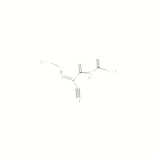 CON=C(C#N)C(=O)NC(=O)O